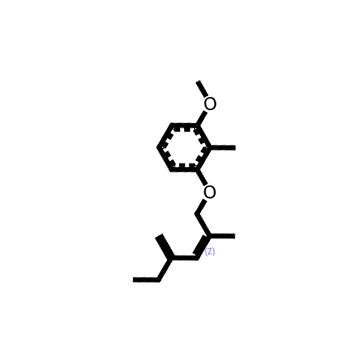 C=C(/C=C(/C)COc1cccc(OC)c1C)CC